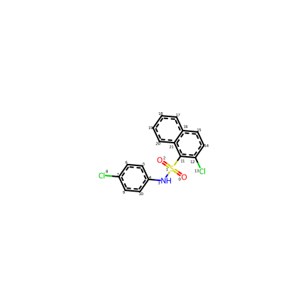 O=S(=O)(Nc1ccc(Cl)cc1)c1c(Cl)ccc2ccccc12